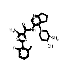 Nc1sc(-c2c(F)cccc2F)nc1C(=O)Nc1cnc2c(c1N1CC[C@@H](O)[C@@H](N)C1)CCC2